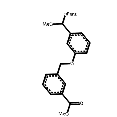 CCCCCC(OC)c1cccc(OCc2cccc(C(=O)OC)c2)c1